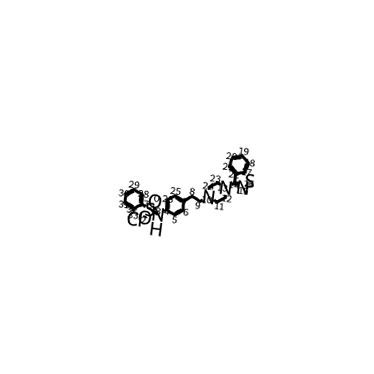 O=S(=O)(Nc1ccc(CCN2CCN(c3nsc4ccccc34)CC2)cc1)c1ccccc1Cl